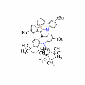 CC(C)(C)c1ccc(N2c3cc(C(C)(C)C)cc4c3B(c3ccc5c(c3N4c3ccc4c(c3)C(C)(C)CCC4(C)C)C(C)(C)CCC5(C)C)c3c2sc2ccc(C(C)(C)C)cc32)c(-c2ccccc2)c1